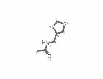 CC(=O)NCC1CSCS1